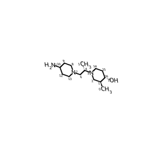 C[C@H]1CN([C@@H](C)CN2CCC(N)CC2)CC[C@@H]1O